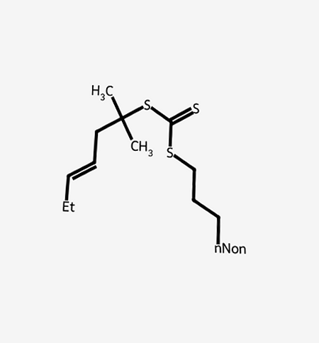 CCC=CCC(C)(C)SC(=S)SCCCCCCCCCCCC